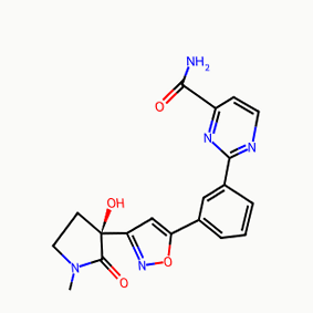 CN1CC[C@](O)(c2cc(-c3cccc(-c4nccc(C(N)=O)n4)c3)on2)C1=O